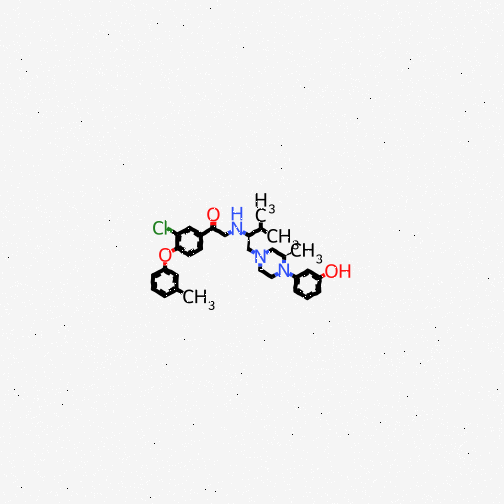 Cc1cccc(Oc2ccc(C(=O)CN[C@H](CN3CCN(c4cccc(O)c4)[C@@H](C)C3)C(C)C)cc2Cl)c1